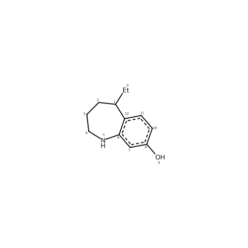 CCC1CCCNc2cc(O)ccc21